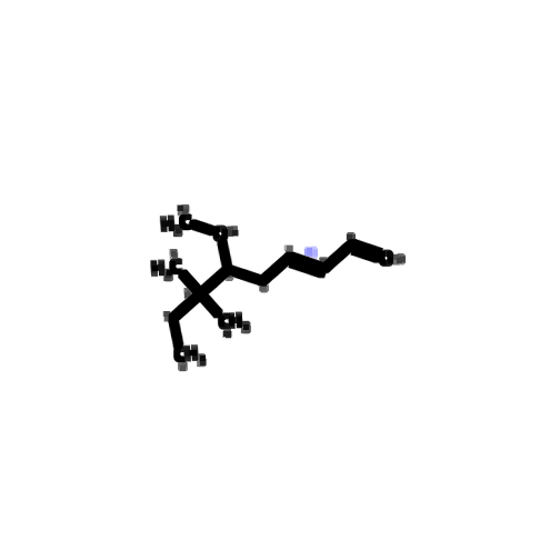 CCC(C)(C)C(C/C=C/C=O)OC